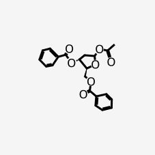 CC(=O)OC1C[C@@H](OC(=O)c2ccccc2)[C@H](COC(=O)c2ccccc2)O1